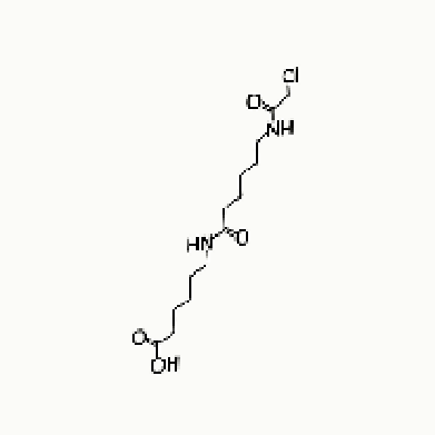 O=C(O)CCCCCNC(=O)CCCCCNC(=O)CCl